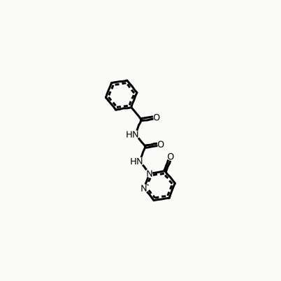 O=C(NC(=O)c1ccccc1)Nn1ncccc1=O